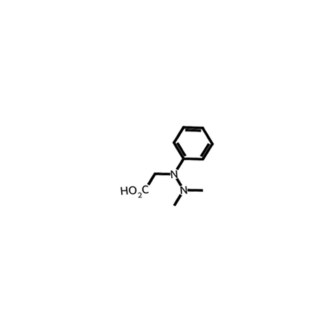 CN(C)N(CC(=O)O)c1ccccc1